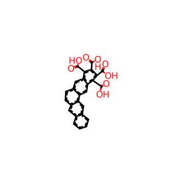 O=C(O)c1c(C(=O)O)c(C(=O)O)c2cc3c(ccc4cc5ccccc5cc43)cc2c1C(=O)O